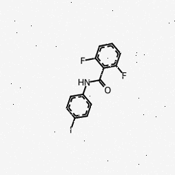 O=C(Nc1ccc(I)cc1)c1c(F)cccc1F